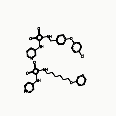 O=c1c(NCCCCCCOc2cccnc2)c(Nc2ccncc2)c1=O.O=c1c(NCc2ccc(Oc3ccc(Cl)cc3)cc2)c(Nc2cccnc2)c1=O